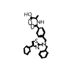 CC(NC(=O)c1ccc(CN(Cc2ccccc2)c2nc(-c3ccccc3)cs2)cc1)C(=O)O